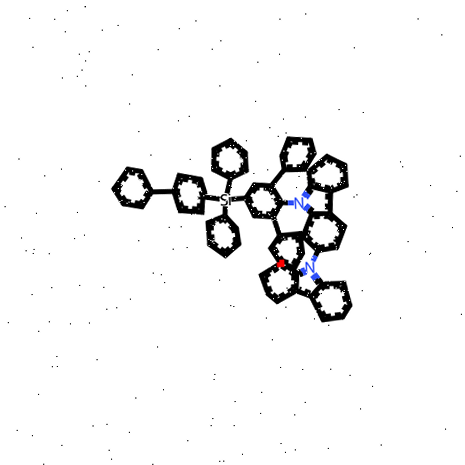 c1ccc(-c2ccc([Si](c3ccccc3)(c3ccccc3)c3cc(-c4ccccc4)c(-n4c5ccccc5c5ccc(-n6c7ccccc7c7ccccc76)cc54)c(-c4ccccc4)c3)cc2)cc1